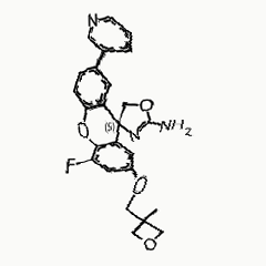 CC1(COc2cc(F)c3c(c2)[C@]2(COC(N)=N2)c2cc(-c4cccnc4)ccc2O3)COC1